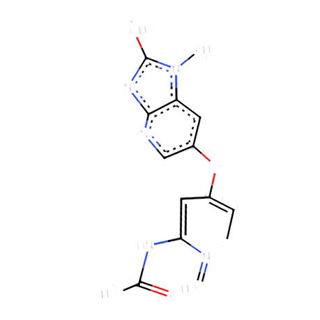 C=N/C(=C\C(=C/C)Oc1cnc2nc(O)n(C)c2c1)NC(C)=O